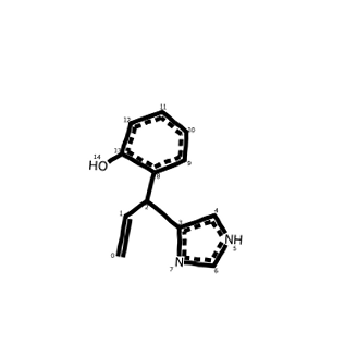 C=CC(c1c[nH]cn1)c1ccccc1O